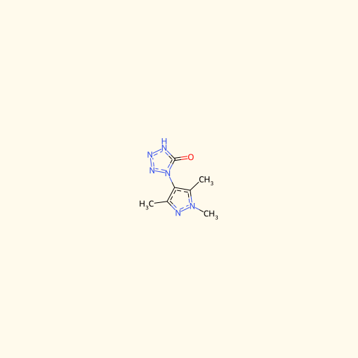 Cc1nn(C)c(C)c1-n1nn[nH]c1=O